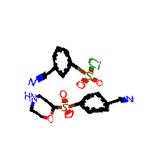 N#Cc1ccc(S(=O)(=O)C2CNCCO2)cc1.N#Cc1cccc(S(=O)(=O)Cl)c1